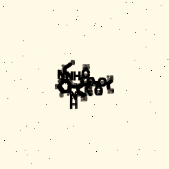 CCc1nc2ccc3[nH]c4cnc(OC(=O)OC(C)C)c(COC)c4c3c2[nH]1